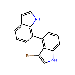 Brc1c[nH]c2cccc(-c3cccc4cc[nH]c34)c12